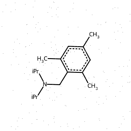 Cc1cc(C)c(CN(C(C)C)C(C)C)c(C)c1